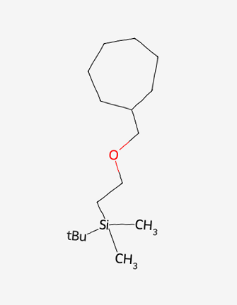 CC(C)(C)[Si](C)(C)CCOCC1CCCCCC1